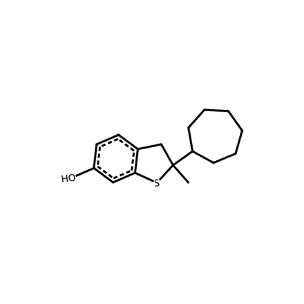 CC1(C2CCCCCC2)Cc2ccc(O)cc2S1